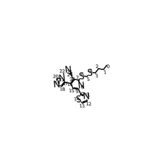 CCCCSCSc1nc(-c2nccs2)cc(-c2cncn2C)c1C#N